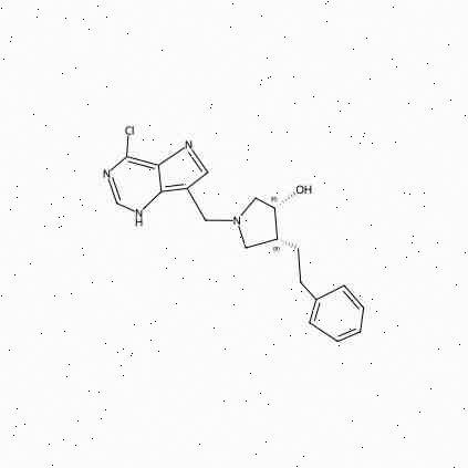 O[C@H]1CN(Cc2cnc3c(Cl)nc[nH]c2-3)C[C@H]1CCc1ccccc1